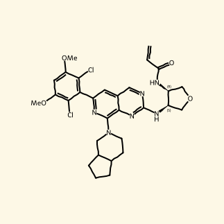 C=CC(=O)N[C@H]1COC[C@H]1Nc1ncc2cc(-c3c(Cl)c(OC)cc(OC)c3Cl)nc(N3CCC4CCCC4C3)c2n1